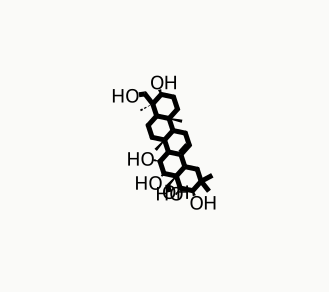 CC1(C)CC2C3=CCC4[C@@](C)(CCC5[C@]4(C)CC[C@H](O)[C@]5(C)CO)C3[C@@H](O)[C@@H](O)[C@@]2(CO)[C@@H](O)[C@@H]1O